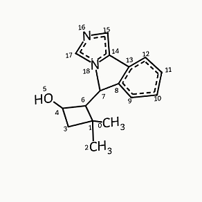 CC1(C)CC(O)C1C1c2ccccc2-c2cncn21